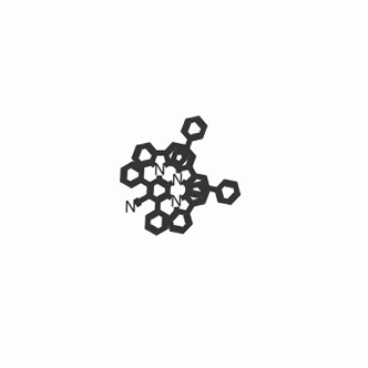 N#Cc1c(-c2ccccc2)c(-n2c3ccccc3c3ccccc32)c(-n2c3ccc(-c4ccccc4)cc3c3cc(-c4ccccc4)ccc32)c(-n2c3ccccc3c3ccccc32)c1-c1ccccc1